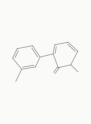 C=C1C(c2cccc(C)c2)=CC=CC1C